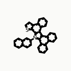 c1ccc2cc(-n3c4c5ccccc5c5ccccc5c4c4c5ccccc5c5ccsc5c43)ccc2c1